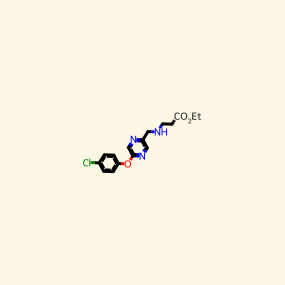 CCOC(=O)CCNCc1cnc(Oc2ccc(Cl)cc2)cn1